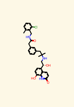 Cc1cccc(Cl)c1CNC(=O)Cc1cccc(CC(C)(C)NC[C@H](O)c2ccc(O)c3[nH]c(=O)ccc23)c1